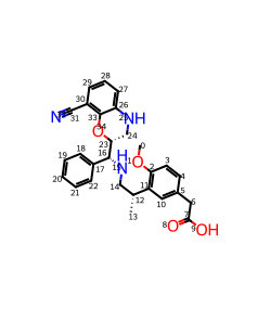 COc1ccc(CC(=O)O)cc1[C@H](C)CN[C@H](c1ccccc1)[C@H]1CNc2cccc(C#N)c2O1